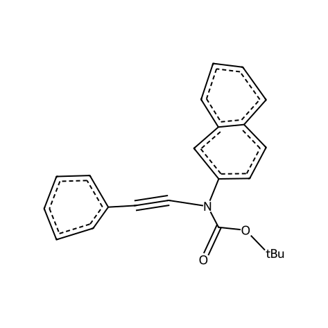 CC(C)(C)OC(=O)N(C#Cc1ccccc1)c1ccc2ccccc2c1